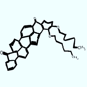 CCCCCCOc1ccc2c(c1OCCCCCC)-c1ccc3c4ccc5c6c(ccc(c7ccc(c1c73)C2=O)c64)C(=O)c1ccccc1-5